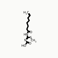 C=CCCCCCC(=O)NC(=NC(=O)O)SC